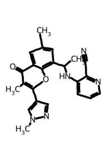 Cc1cc(C(C)Nc2cccnc2C#N)c2oc(-c3cnn(C)c3)c(C)c(=O)c2c1